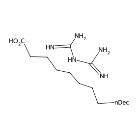 CCCCCCCCCCCCCCCCCC(=O)O.N=C(N)NC(=N)N